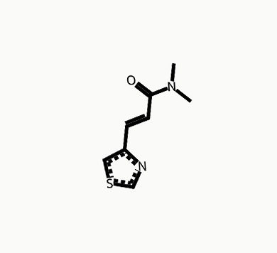 CN(C)C(=O)C=Cc1cscn1